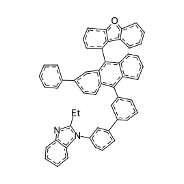 CCc1nc2ccccc2n1-c1cccc(-c2cccc(-c3c4ccccc4c(-c4cccc5oc6ccccc6c45)c4cc(-c5ccccc5)ccc34)c2)c1